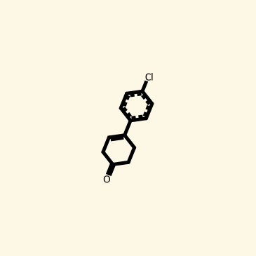 O=C1CC=C(c2ccc(Cl)cc2)CC1